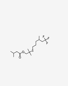 CC(C)CC(=O)OCC(C)(C)SCCCC(C)CC(F)(F)F